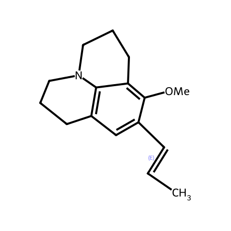 C/C=C/c1cc2c3c(c1OC)CCCN3CCC2